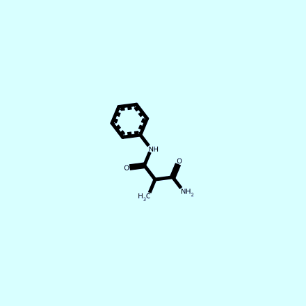 CC(C(N)=O)C(=O)Nc1ccccc1